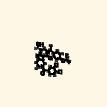 C[C@@H]1Cc2nn3c(c2CN1C(=O)c1ccc(Cl)c(Cl)c1)C(=O)N([C@@H](C)c1ccc(OC(F)F)cc1)C[C@H]3CO